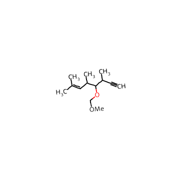 C#CC(C)C(OCOC)C(C)C=C(C)C